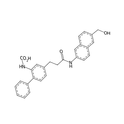 O=C(O)Nc1cc(CCC(=O)Nc2ccc3cc(CO)ccc3c2)ccc1-c1ccccc1